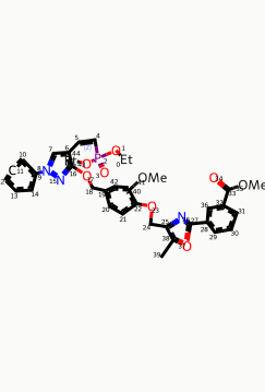 CCOP(=O)(/C=C\c1cn(-c2ccccc2)nc1OCc1ccc(OCc2nc(-c3cccc(C(=O)OC)c3)oc2C)c(OC)c1)OCC